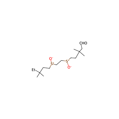 CCC(C)(C)CC[S+]([O-])CC[S+]([O-])CCC(C)(C)CC=O